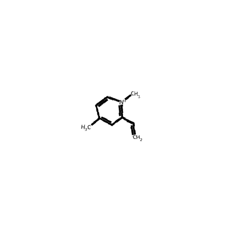 C=Cc1cc(C)cc[n+]1C